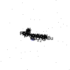 CCC(C)n1ncn(-c2ccc(N3CCN(c4ccc(OC[C@H]5CO[C@](Cn6cncn6)(c6ccc(F)cc6F)O5)cc4)CC3)cc2)c1=O.O=C(O)/C=C\C(=O)O